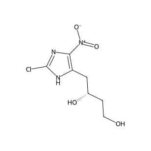 O=[N+]([O-])c1nc(Cl)[nH]c1C[C@@H](O)CCO